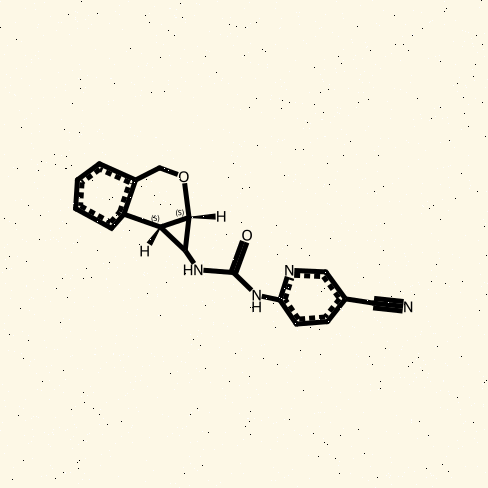 N#Cc1ccc(NC(=O)NC2[C@H]3OCc4ccccc4[C@@H]23)nc1